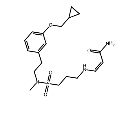 CN(CCc1cccc(OCC2CC2)c1)S(=O)(=O)CCCN/C=C\C(N)=O